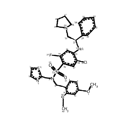 COc1ccc(CN(c2nccs2)S(=O)(=O)c2cc(Cl)c(N[C@@H](CN3CCCC3)c3ccccc3)cc2F)c(OC)c1